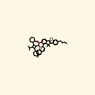 CCCCc1ccc2c3c(oc2c1)-c1ccc(CCC)c(-c2ccc4cc(C)ccc4[n+]2C(CC)C2C(C4CCCCC4)C(C(C)C)C2C2CCCCC2)c1C3(C)C